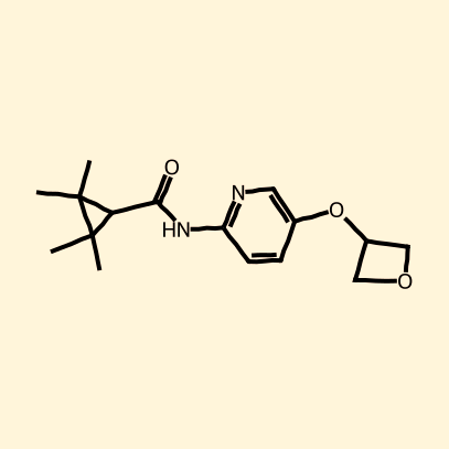 CC1(C)C(C(=O)Nc2ccc(OC3COC3)cn2)C1(C)C